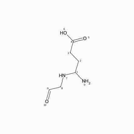 NC(CCC(=O)O)NCC=O